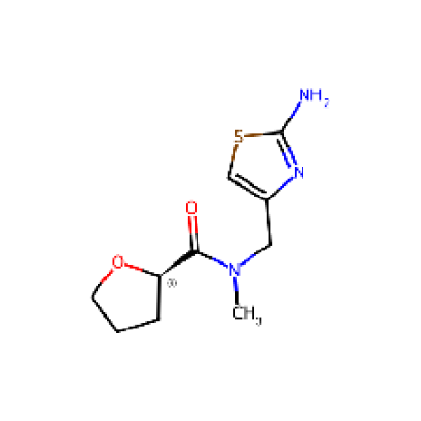 CN(Cc1csc(N)n1)C(=O)[C@H]1CCCO1